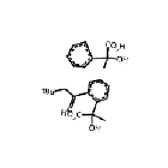 CC(C)(C)CC(=O)c1ccccc1C(C)(O)C(=O)O.CC(O)(C(=O)O)c1ccccc1